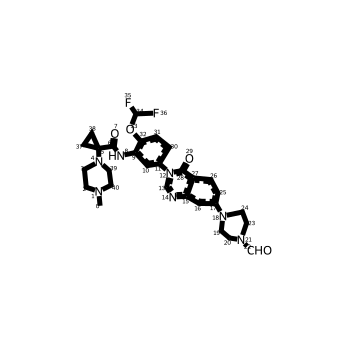 CN1CCN(C2(C(=O)Nc3cc(-n4cnc5cc(N6CCN(C=O)CC6)ccc5c4=O)ccc3OC(F)F)CC2)CC1